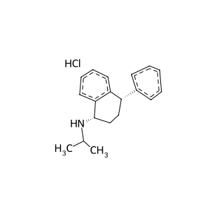 CC(C)N[C@H]1CC[C@@H](c2ccccc2)c2ccccc21.Cl